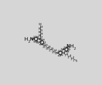 CCCCCCCCC(c1ccc(CCCCCCCCCc2ccc(C(CCCCCCCC)c3ccc(N)cc3C)cc2)cc1)c1ccc(N)cc1C